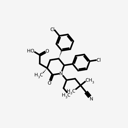 CCC(CC(C)(C)C#N)N1C(=O)[C@@](C)(CC(=O)O)C[C@H](c2cccc(Cl)c2)C1c1ccc(Cl)cc1